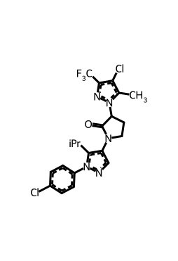 Cc1c(Cl)c(C(F)(F)F)nn1C1CCN(c2cnn(-c3ccc(Cl)cc3)c2C(C)C)C1=O